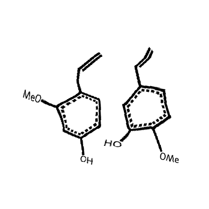 C=Cc1ccc(O)cc1OC.C=Cc1ccc(OC)c(O)c1